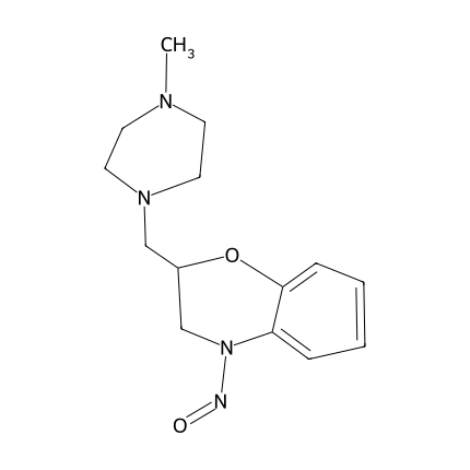 CN1CCN(CC2CN(N=O)c3ccccc3O2)CC1